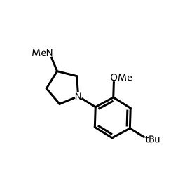 CNC1CCN(c2ccc(C(C)(C)C)cc2OC)C1